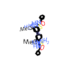 COC1=C/C(=C2/C=CC(N)(NC(=S)NC(=O)c3ccccc3)C(OC)=C2)C=CC1(N)NC(=S)NC(=O)c1ccccc1